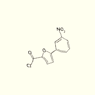 O=C(Cl)c1ccc(-c2cccc([N+](=O)[O-])c2)o1